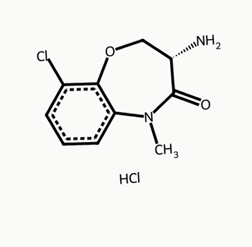 CN1C(=O)[C@@H](N)COc2c(Cl)cccc21.Cl